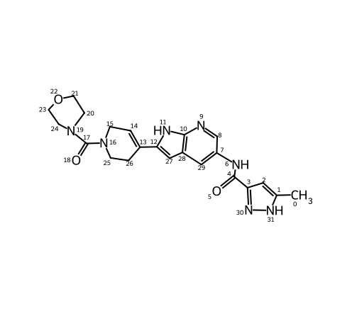 Cc1cc(C(=O)Nc2cnc3[nH]c(C4=CCN(C(=O)N5CCOCC5)CC4)cc3c2)n[nH]1